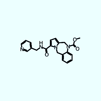 COC(=O)N1Cc2ccc(C(=O)NCc3cccnc3)n2Cc2ccccc21